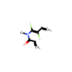 C=CC(=O)N(CC)C(F)=C(F)C=C